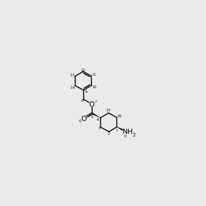 N[C@H]1CC[C@@H](C(=O)OCC2=CC=CCC2)CC1